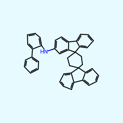 c1ccc(-c2ccccc2Nc2ccc3c(c2)C2(CCC4(CC2)c2ccccc2-c2ccccc24)c2ccccc2-3)cc1